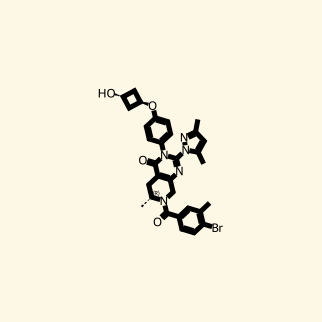 Cc1cc(C)n(-c2nc3c(c(=O)n2-c2ccc(O[C@H]4C[C@H](O)C4)cc2)C[C@@H](C)N(C(=O)c2ccc(Br)c(C)c2)C3)n1